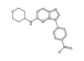 O=[N+]([O-])c1ccc(-c2cnc3ccc(NC4CCOCC4)nn23)cc1